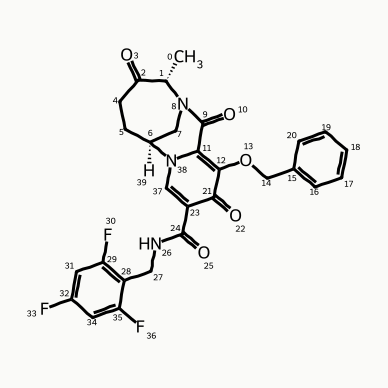 C[C@H]1C(=O)CC[C@H]2CN1C(=O)c1c(OCc3ccccc3)c(=O)c(C(=O)NCc3c(F)cc(F)cc3F)cn12